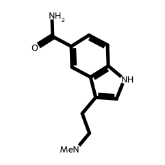 CNCCc1c[nH]c2ccc(C(N)=O)cc12